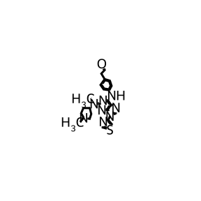 CN1CCC(N(C)c2nc(Nc3ccc(CC=O)cc3)c3ncn(-c4cscn4)c3n2)CC1